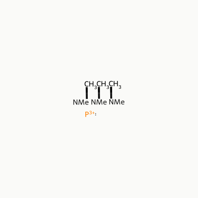 C[N-]C.C[N-]C.C[N-]C.[P+3]